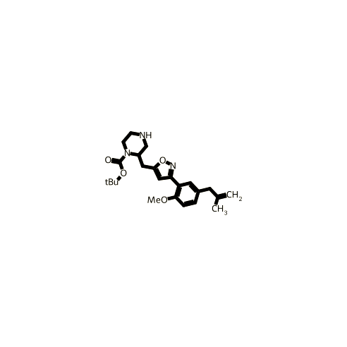 C=C(C)Cc1ccc(OC)c(-c2cc(CC3CNCCN3C(=O)OC(C)(C)C)on2)c1